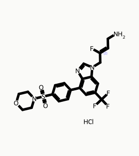 Cl.NC/C=C(\F)Cn1cnc2c(-c3ccc(S(=O)(=O)N4CCOCC4)cc3)cc(C(F)(F)F)cc21